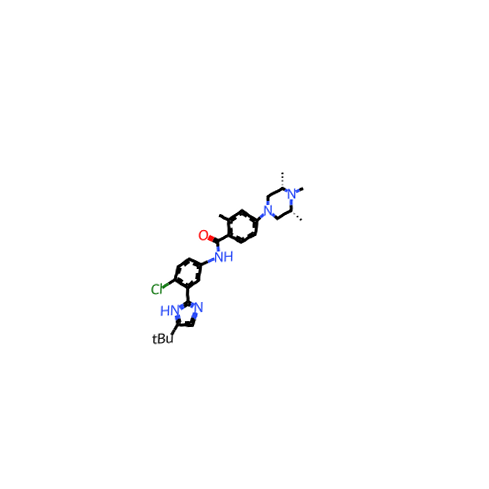 Cc1cc(N2C[C@@H](C)N(C)[C@@H](C)C2)ccc1C(=O)Nc1ccc(Cl)c(-c2ncc(C(C)(C)C)[nH]2)c1